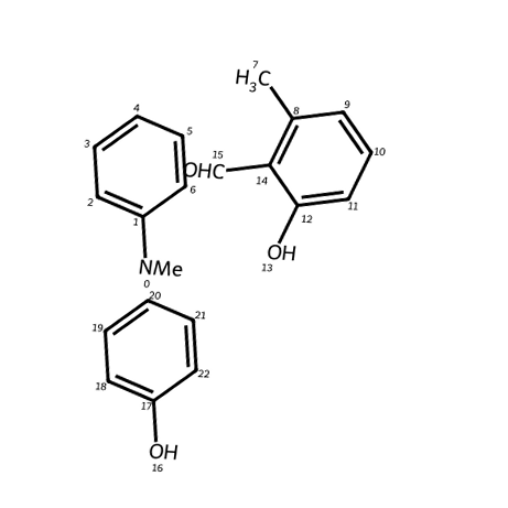 CNc1ccccc1.Cc1cccc(O)c1C=O.Oc1ccccc1